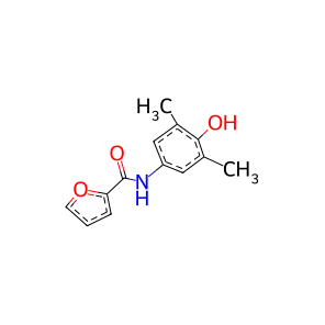 Cc1cc(NC(=O)c2ccco2)cc(C)c1O